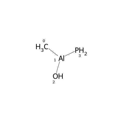 [CH3][Al]([OH])[PH2]